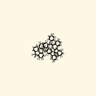 CC1(C)c2ccccc2-c2c(N(c3ccccc3)c3ccc4c(c3)-c3ccccc3C43C4=C(c5ccccc5C(N(c5ccccc5)c5ccccc5)C4)c4ccccc43)cccc21